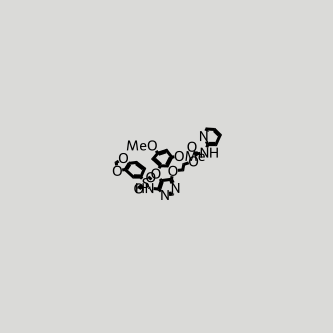 COc1cc(OC)cc(Oc2c(NS(=O)(=O)c3ccc4c(c3)OCO4)ncnc2OCCOC(=O)Nc2ccccn2)c1